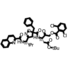 CC(C)[C@H](NC(=O)c1ccc2ccccc2n1)C1=NOC(Cc2ccccc2)(C(=O)N[C@@H](CC(=O)OC(C)(C)C)C(=O)COC(=O)c2c(Cl)cccc2Cl)C1